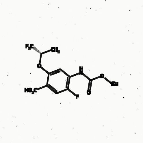 C[C@H](Oc1cc(NC(=O)OC(C)(C)C)c(F)cc1C(=O)O)C(F)(F)F